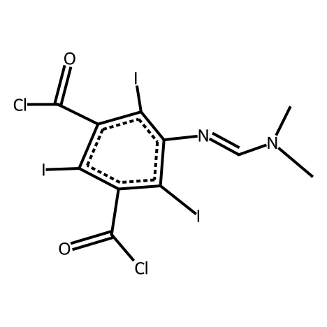 CN(C)C=Nc1c(I)c(C(=O)Cl)c(I)c(C(=O)Cl)c1I